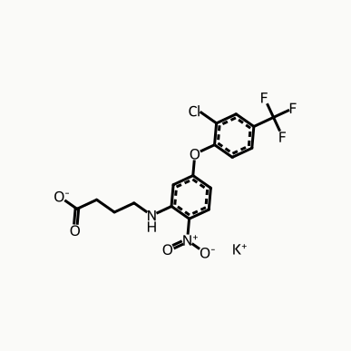 O=C([O-])CCCNc1cc(Oc2ccc(C(F)(F)F)cc2Cl)ccc1[N+](=O)[O-].[K+]